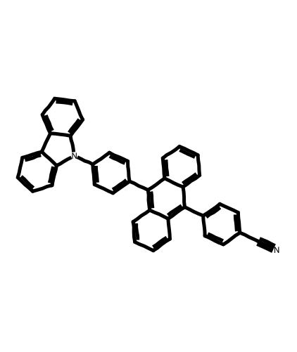 N#Cc1ccc(-c2c3ccccc3c(-c3ccc(-n4c5ccccc5c5ccccc54)cc3)c3ccccc23)cc1